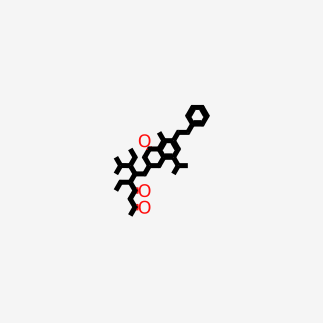 CCC(C(=O)CC(C)=O)C(CC1CC(=O)c2c(C)c(CCc3ccccc3)cc(C(C)C)c2C1)C(CC)C(C)C